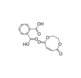 O=C(O)c1ccccc1C(=O)O.O=C1/C=C\C(=O)OCCO1